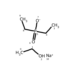 CCO.CCP(=O)([O-])CC.[Na+]